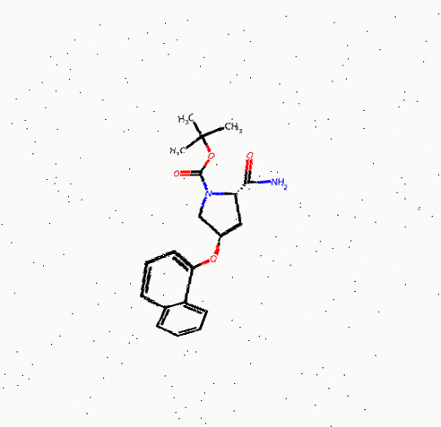 CC(C)(C)OC(=O)N1C[C@H](Oc2cccc3ccccc23)C[C@H]1C(N)=O